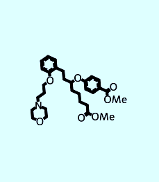 COC(=O)CCCCC(CCc1ccccc1OCCCN1CCOCC1)Oc1ccc(C(=O)OC)cc1